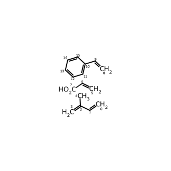 C=CC(=C)C.C=CC(=O)O.C=Cc1ccccc1